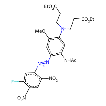 CCOC(=O)CCN(CCC(=O)OCC)c1cc(NC(C)=O)c(/N=N/c2cc(F)c([N+](=O)[O-])cc2[N+](=O)[O-])cc1OC